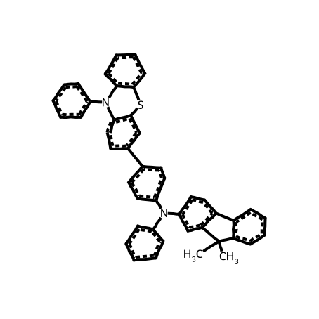 CC1(C)c2ccccc2-c2ccc(N(c3ccccc3)c3ccc(-c4ccc5c(c4)Sc4ccccc4N5c4ccccc4)cc3)cc21